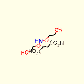 O=C(O)CCC(=O)O.OCCONOCCO